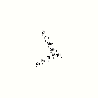 [Cu].[Fe].[MgH2].[Mn].[SiH4].[Ti].[Zn].[Zr]